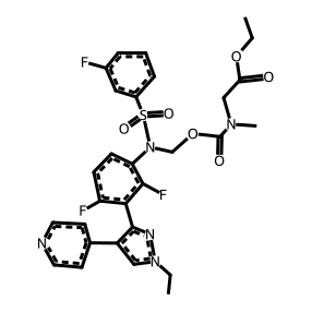 CCOC(=O)CN(C)C(=O)OCN(c1ccc(F)c(-c2nn(CC)cc2-c2ccncc2)c1F)S(=O)(=O)c1cccc(F)c1